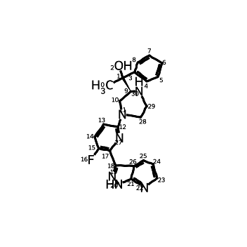 CC(O)(c1ccccc1)[C@@H]1CN(c2ccc(F)c(-c3n[nH]c4ncccc34)n2)CCN1